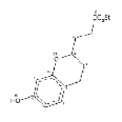 CCOC(=O)CCC1CCc2ccc(O)cc2O1